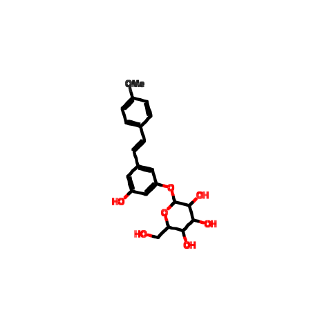 COc1ccc(C=Cc2cc(O)cc(OC3OC(CO)C(O)C(O)C3O)c2)cc1